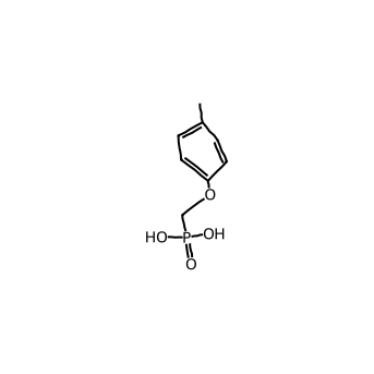 Cc1ccc(OCP(=O)(O)O)cc1